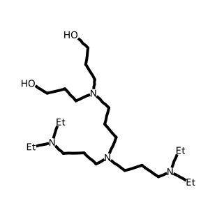 CCN(CC)CCCN(CCCN(CC)CC)CCCN(CCCO)CCCO